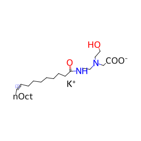 CCCCCCCC/C=C\CCCCCCCC(=O)NCCN(CCO)CC(=O)[O-].[K+]